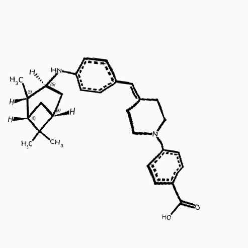 C[C@@H]1[C@@H](Nc2ccc(C=C3CCN(c4ccc(C(=O)O)cc4)CC3)cc2)C[C@H]2C[C@@H]1C2(C)C